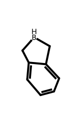 B1Cc2ccccc2C1